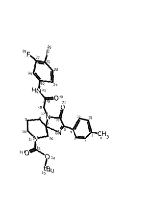 Cc1ccc(C2=NC3(CCCN(C(=O)OC(C)(C)C)C3)N(CC(=O)Nc3ccc(F)c(F)c3)C2=O)cc1